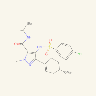 COC1CC=C(c2nn(C)c(C(=O)NC(C)C(C)(C)C)c2NS(=O)(=O)c2ccc(Cl)cc2)CC1